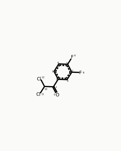 O=C(c1ccc(F)c(F)c1)C(Cl)Cl